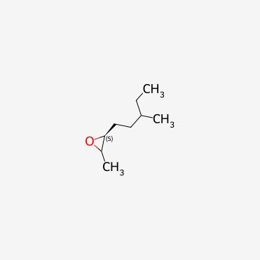 CCC(C)CC[C@@H]1OC1C